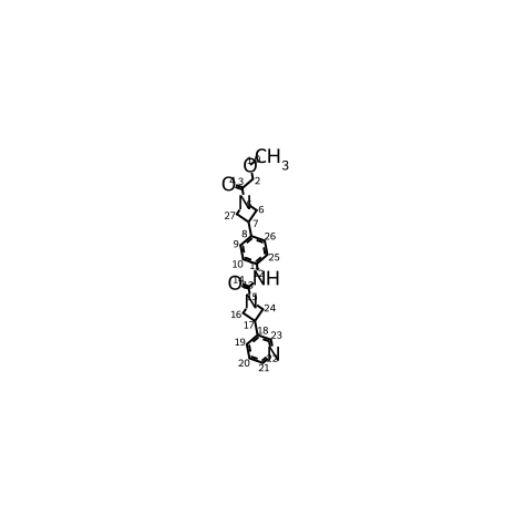 COCC(=O)N1CC(c2ccc(NC(=O)N3CC(c4cccnc4)C3)cc2)C1